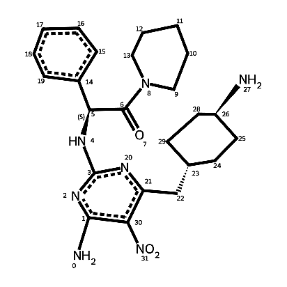 Nc1nc(N[C@H](C(=O)N2CCCCC2)c2ccccc2)nc(C[C@H]2CC[C@H](N)CC2)c1[N+](=O)[O-]